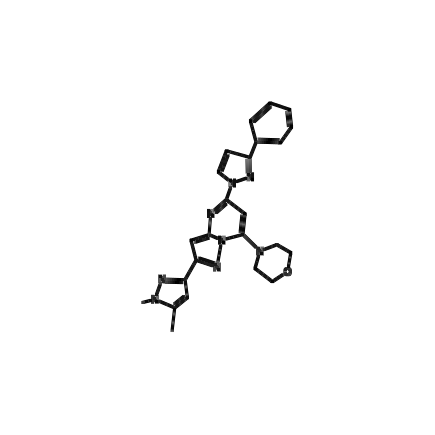 Cc1cc(-c2cc3nc(-n4ccc(-c5ccccc5)n4)cc(N4CCOCC4)n3n2)nn1C